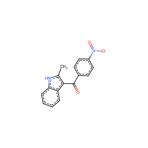 Cc1[nH]c2ccccc2c1C(=O)c1ccc([N+](=O)[O-])cc1